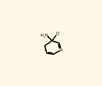 NC1(Cl)C=NC=CC1